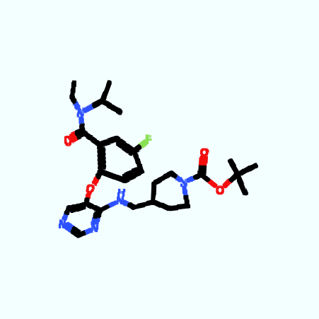 CCN(C(=O)c1cc(F)ccc1Oc1cncnc1NCC1CCN(C(=O)OC(C)(C)C)CC1)C(C)C